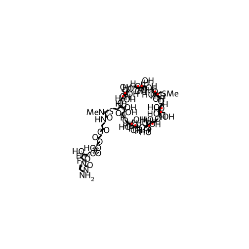 CN[C@H](CSCC1O[C@@H]2O[C@@H]3C(CO)O[C@H](O[C@@H]4C(CO)O[C@H](O[C@@H]5C(CO)O[C@H](O[C@@H]6C(CSC)O[C@H](O[C@@H]7C(CO)O[C@@H](O[C@@H]8C(CO)O[C@@H](O[C@H]1[C@H](O)C2O)C(O)[C@H]8O)C(O)[C@H]7O)C(O)[C@H]6O)C(O)[C@H]5O)C(O)[C@H]4O)C(O)[C@H]3O)C(=O)NCCC(=O)OCC(=O)OCOP(=O)(O)OC[C@H]1O[C@@H](n2ccc(N)nc2=O)C(F)(F)[C@@H]1O